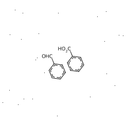 O=C(O)c1ccccc1.O=Cc1ccccc1